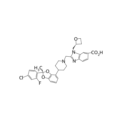 C[C@]1(c2ccc(Cl)cc2F)Oc2cccc(C3CCN(Cc4nc5ccc(C(=O)O)cc5n4C[C@@H]4CCO4)CC3)c2O1